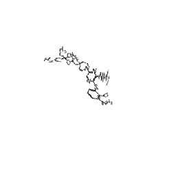 CC(C)(C)OC(=O)CC1(F)CCN(c2cnc(Sc3cccc(N)c3Cl)c(N)n2)CC1